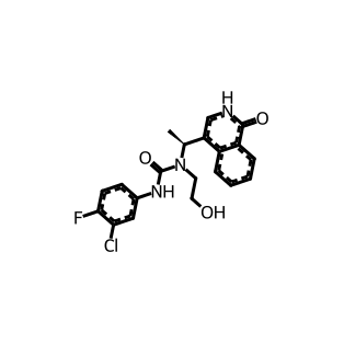 C[C@@H](c1c[nH]c(=O)c2ccccc12)N(CCO)C(=O)Nc1ccc(F)c(Cl)c1